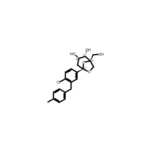 Cc1ccc(Cc2cc([C@]34C[C@@H](O)[C@H](O)[C@](CO)(CO3)O4)ccc2Cl)cc1